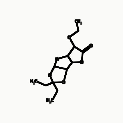 CCOC1C(=O)OC2C3OC(CC)(CC)OC3OC12